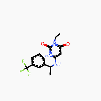 CCn1c(=O)cc(NC(C)c2cccc(C(F)(F)F)c2)[nH]c1=O